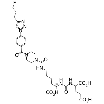 O=C(O)CCC(NC(=O)N[C@@H](CCCCNC(=O)N1CCN(C(=O)c2ccc(-n3cc(CCCF)nn3)cc2)CC1)C(=O)O)C(=O)O